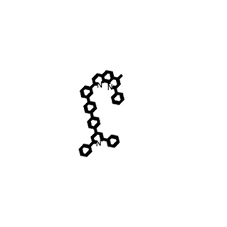 Cc1cc(-c2ccccc2)nc2c1ccc1ccc(-c3cccc(-c4ccc(-c5ccc(-c6cc(-c7ccccc7)nc(-c7ccccc7)c6)cc5)cc4)c3)nc12